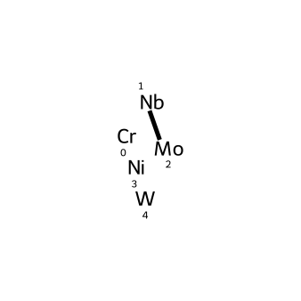 [Cr].[Nb][Mo].[Ni].[W]